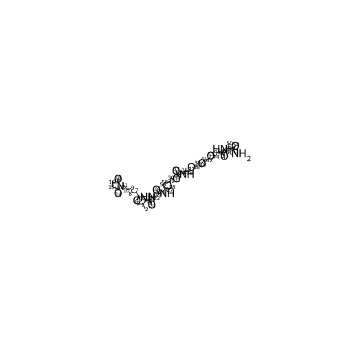 CC(C)C(NC(=O)CCCCCN1C(=O)C=CC1=O)C(=O)NCC(=O)Nc1ccc(COC(=O)NCCOCCOCCOCCC(=O)NC(C)(C)C(N)=O)cc1